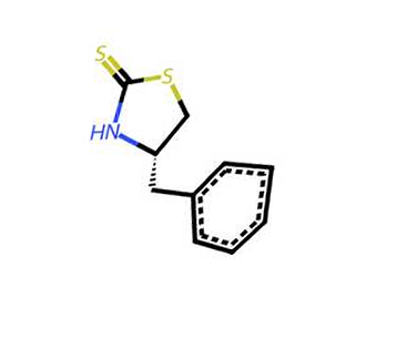 S=C1N[C@@H](Cc2ccccc2)CS1